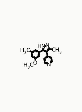 COc1cc(C)cc(-c2[nH]nc(C)c2-c2ccncc2)c1